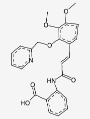 COc1ccc(/C=C/C(=O)Nc2ccccc2C(=O)O)c(OCc2ccccn2)c1OC